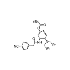 CCCCC(=O)Oc1ccc(N(CC(C)C)CC(C)C)c(NC(=O)Cc2ccc(C#N)cc2)c1